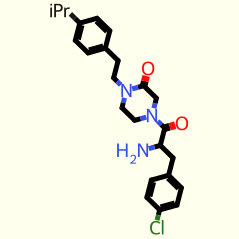 CC(C)c1ccc(CCN2CCN(C(=O)C(N)Cc3ccc(Cl)cc3)CC2=O)cc1